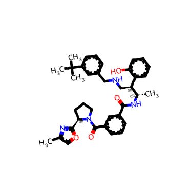 Cc1coc([C@H]2CCCN2C(=O)c2cccc(C(=O)N[C@@H](C)[C@@H](CNCc3cccc(C(C)(C)C)c3)c3ccccc3O)c2)n1